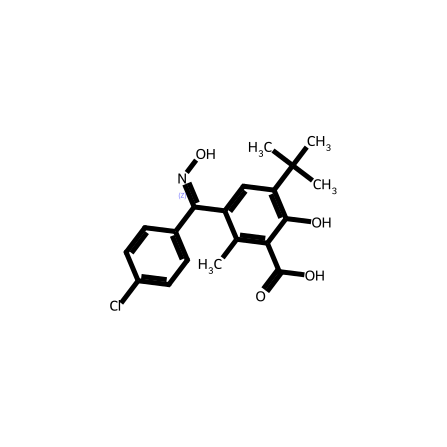 Cc1c(/C(=N\O)c2ccc(Cl)cc2)cc(C(C)(C)C)c(O)c1C(=O)O